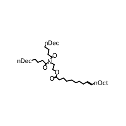 CCCCCCCCC=CCCCCCCCC(=O)OCCN(C(=O)CCCCCCCCCCCCC)C(=O)CCCCCCCCCCCCC